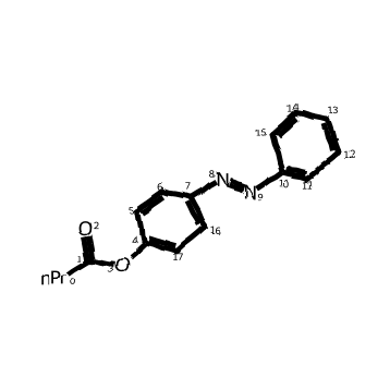 CCCC(=O)Oc1ccc(N=Nc2ccccc2)cc1